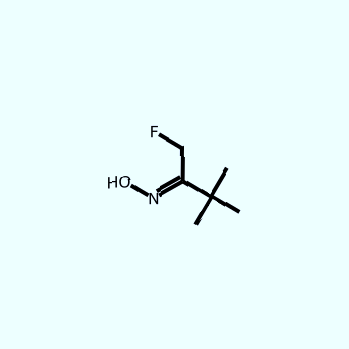 CC(C)(C)C(CF)=NO